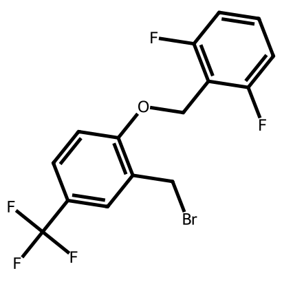 Fc1cccc(F)c1COc1ccc(C(F)(F)F)cc1CBr